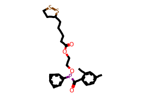 Cc1ccc(C(=O)P(OCCOC(=O)CCCCC2CCSS2)c2ccccc2)c(C)c1